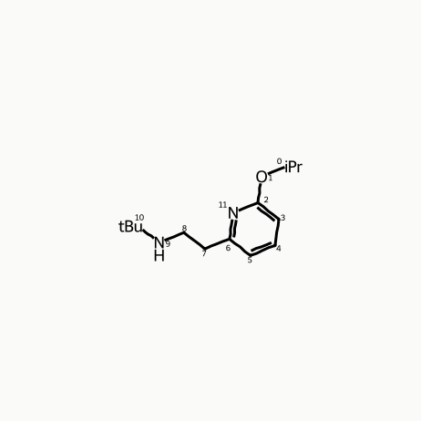 CC(C)Oc1cccc(CCNC(C)(C)C)n1